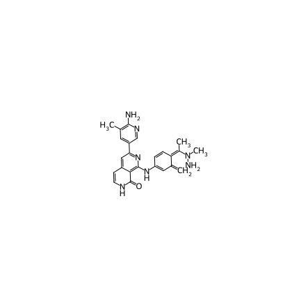 C=c1cc(Nc2nc(-c3cnc(N)c(C)c3)cc3cc[nH]c(=O)c23)cc/c1=C(\C)N(C)N